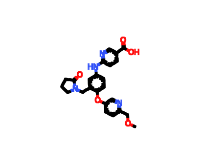 COCc1ccc(Oc2ccc(Nc3ccc(C(=O)O)cn3)cc2CN2CCCC2=O)cn1